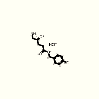 Cl.NCC(=O)CCC(=O)OCc1ccc(Cl)cc1